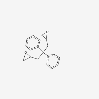 c1ccc(C(CC2CO2)(CC2CO2)c2ccccc2)cc1